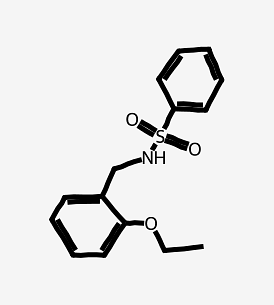 CCOc1ccccc1CNS(=O)(=O)c1ccccc1